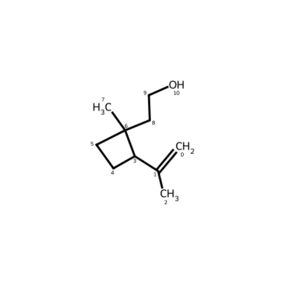 C=C(C)C1CCC1(C)CCO